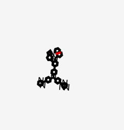 c1ccc(-n2ccc3ccc4c5cc(-c6ccc(N(c7ccc(-c8ncccn8)cc7)c7ccc(-c8ncncn8)cc7)cc6)ccc5n(-c5ccccc5)c4c32)cc1